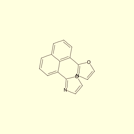 c1cc(-c2ncco2)c2c(-c3ncco3)cccc2c1